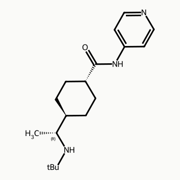 C[C@@H](NC(C)(C)C)[C@H]1CC[C@H](C(=O)Nc2ccncc2)CC1